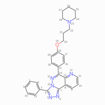 c1ccc(-c2nnc3c4cccnc4c(-c4ccc(OCCCN5CCCCC5)cc4)nn23)cc1